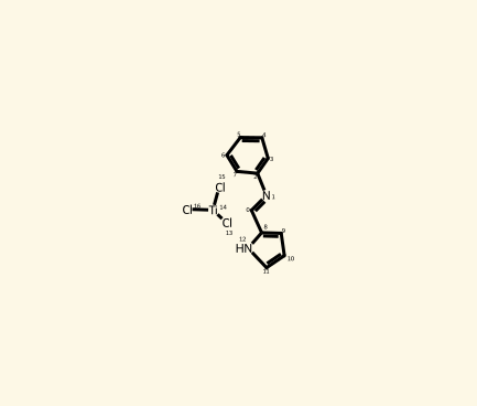 C(=Nc1ccccc1)c1ccc[nH]1.[Cl][Ti]([Cl])[Cl]